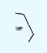 C=C.CCCCCCCC/C=C\CCCCCCCCOCCCCCCCC/C=C\CCCCCCCC.O=P(O)(O)O